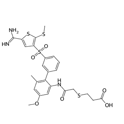 COc1cc(C)c(-c2cccc(S(=O)(=O)c3cc(C(=N)N)sc3SC)c2)c(NC(=O)CSCCC(=O)O)c1